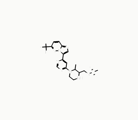 CC1C(CNS(C)(=O)=O)NCCN1c1cc(-c2cnc3ccc(C(F)(F)F)nn23)ncn1